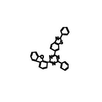 c1ccc(-c2nc(-c3ccc4nc(-c5ccccc5)sc4c3)nc(-c3cccc4c3oc3ccccc34)n2)cc1